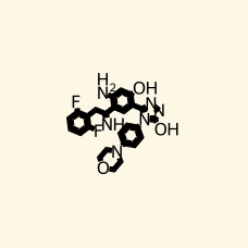 N=C(Cc1c(F)cccc1F)c1cc(-c2nnc(O)n2-c2ccc(N3CCOCC3)cc2)c(O)cc1N